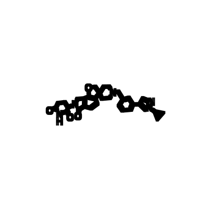 O=C1CCC(N2Cc3c(ccc4c3OCC43CCN(Cc4cccc(-c5cnn(C6CC6)c5)c4)CC3)C2=O)C(=O)N1